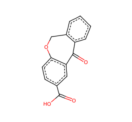 O=C(O)c1ccc2c(c1)C(=O)c1ccccc1CO2